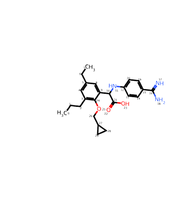 CCCc1cc(CC)cc(C(Nc2ccc(C(=N)N)cc2)C(=O)O)c1OCC1CC1